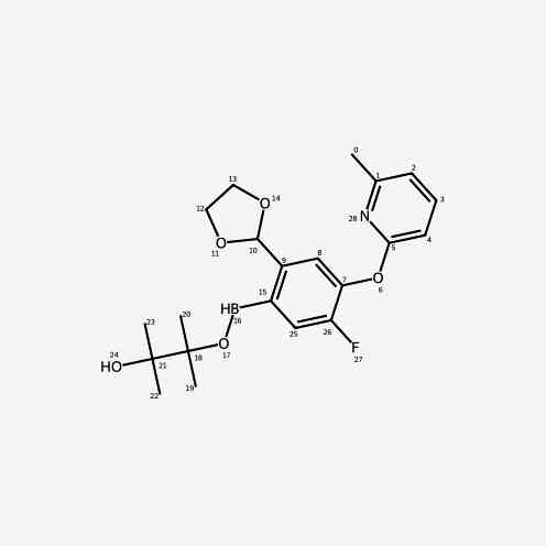 Cc1cccc(Oc2cc(C3OCCO3)c(BOC(C)(C)C(C)(C)O)cc2F)n1